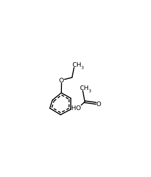 CC(=O)O.CCOc1ccccc1